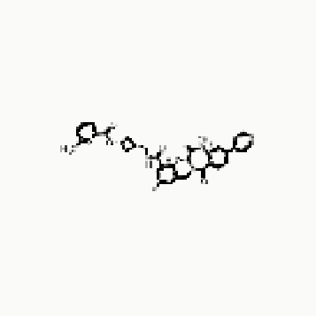 Cc1cccc(C(=O)O[C@H]2C[C@@H](CNC(=O)c3cc(F)cc(CN4C(=O)c5ccc(-c6ccncc6)cc5N(C)C(=O)[C@H]4C)c3)C2)n1